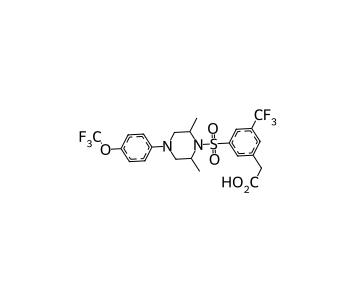 CC1CN(c2ccc(OC(F)(F)F)cc2)CC(C)N1S(=O)(=O)c1cc(CC(=O)O)cc(C(F)(F)F)c1